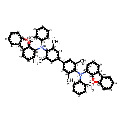 Cc1ccccc1N(c1c(C)cc(-c2cc(C)c(N(c3ccccc3C)c3cccc4c3oc3ccccc34)c(C)c2)cc1C)c1cccc2c1oc1ccccc12